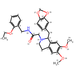 CCOc1ccccc1CNC(=O)CN1CCc2cc(OC)c(OC)cc2C1Cc1ccc2c(c1)OCO2